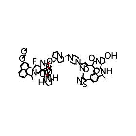 CCc1cccc2cc(OCOC)cc(-c3ncc4c(N5C[C@H]6CC[C@@H](C5)N6C(=O)OC(C)(C)C)nc(OC[C@@]56CCCN5[C@H](CN5CCN(c7cc(C(C(=O)N8C[C@H](O)C[C@H]8C(=O)N[C@@H](C)c8ccc(-c9scnc9C)cc8)C(C)C)on7)CC5)CC6)nc4c3F)c12